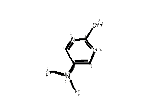 CCN(CC)c1cnc(O)nc1